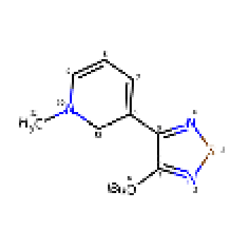 CC(C)COc1nsnc1C1=CC=CN(C)C1